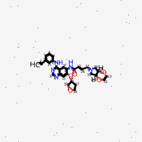 C#Cc1cccc(Nc2ncnc3cc(O[C@H]4CCOC4)c(NC(=O)/C=C/CN4C[C@@H]5OCCO[C@@H]5C4)cc23)c1